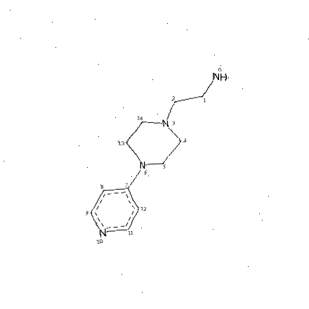 [NH]CCN1CCN(c2ccncc2)CC1